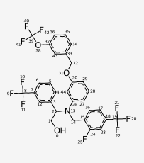 OCC(c1cccc(C(F)(F)F)c1)N(Cc1ccc(C(F)(F)F)cc1F)c1cccc(OCc2cccc(OC(F)(F)F)c2)c1